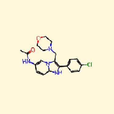 CC(=O)NC1=CN2C(CN3CCOCC3)=C(c3ccc(Cl)cc3)NC2C=C1